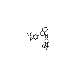 N#Cc1cc(-c2cc(NC3CCN(S(=O)(=O)C4CC4)CC3)c3cnccc3c2)ccc1F